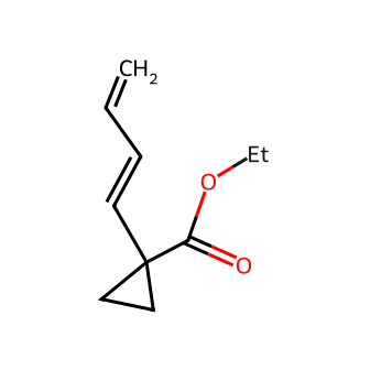 C=CC=CC1(C(=O)OCC)CC1